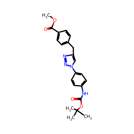 COC(=O)c1ccc(Cc2cn(-c3ccc(NC(=O)OC(C)(C)C)cc3)nn2)cc1